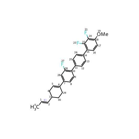 C/C=C/C1CC=C(c2ccc(-c3ccc(-c4ccc(OC)c(F)c4F)cc3)c(F)c2)CC1